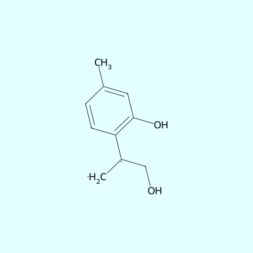 [CH2][C](CO)c1ccc(C)cc1O